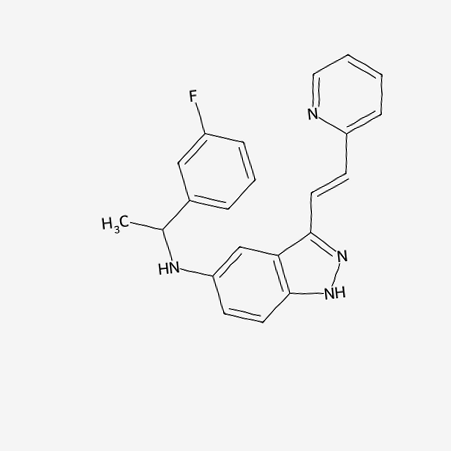 CC(Nc1ccc2[nH]nc(/C=C/c3ccccn3)c2c1)c1cccc(F)c1